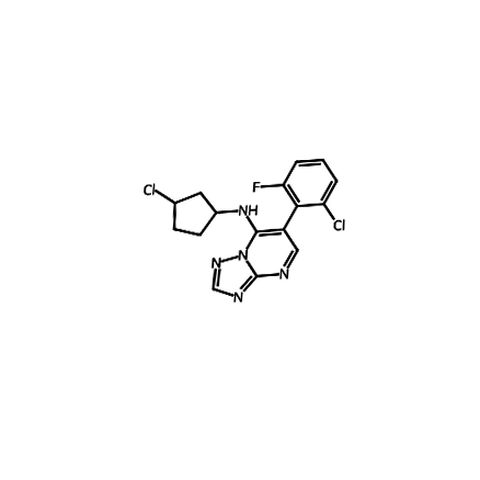 Fc1cccc(Cl)c1-c1cnc2ncnn2c1NC1CCC(Cl)C1